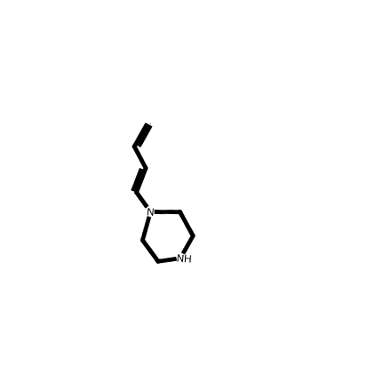 [CH]=C/C=C/N1CCNCC1